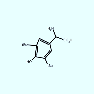 CC(C)(C)c1cc(C(N)C(=O)O)cc(C(C)(C)C)c1O